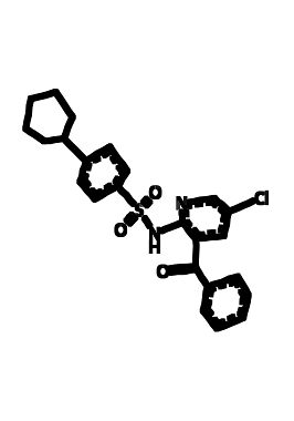 O=C(c1ccccc1)c1cc(Cl)cnc1NS(=O)(=O)c1ccc(C2CCCCC2)cc1